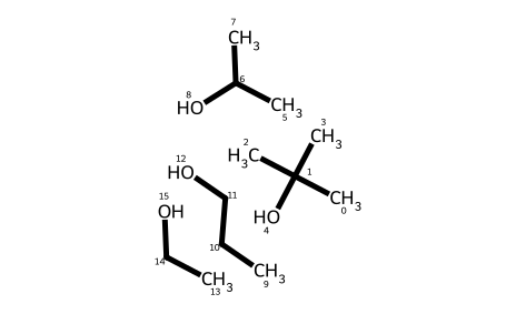 CC(C)(C)O.CC(C)O.CCCO.CCO